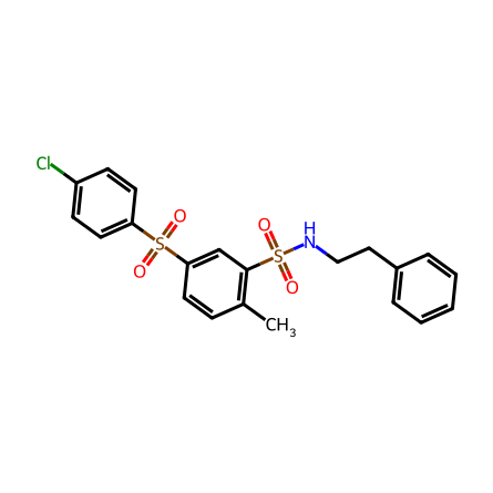 Cc1ccc(S(=O)(=O)c2ccc(Cl)cc2)cc1S(=O)(=O)NCCc1ccccc1